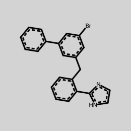 Brc1cc(Cc2ccccc2-c2ncc[nH]2)cc(-c2ccccc2)c1